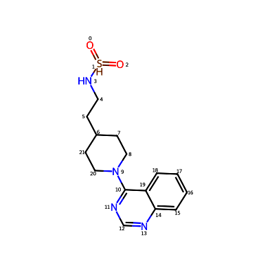 O=[SH](=O)NCCC1CCN(c2ncnc3ccccc23)CC1